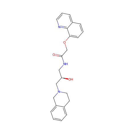 O=C(COc1cccc2cccnc12)NC[C@@H](O)CN1CCc2ccccc2C1